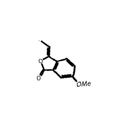 [CH2]C=C1OC(=O)c2cc(OC)ccc21